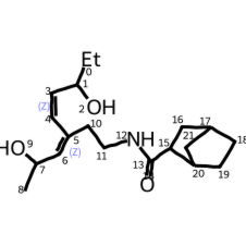 CCC(O)/C=C\C(=C/C(C)O)CCNC(=O)C1CC2CCC1C2